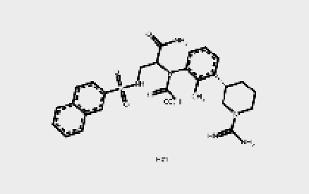 Cc1c([C@@H]2CCCN(C(=N)N)C2)cccc1N(C(=O)C(=O)O)C(CNS(=O)(=O)c1ccc2ccccc2c1)C(N)=O.Cl